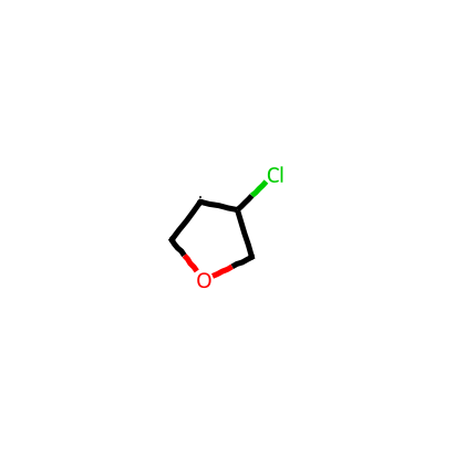 ClC1[CH]COC1